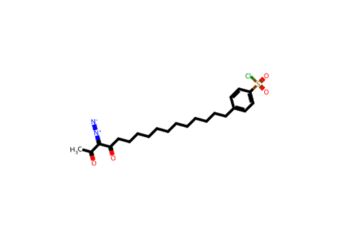 CC(=O)C(=[N+]=[N-])C(=O)CCCCCCCCCCCCc1ccc(S(=O)(=O)Cl)cc1